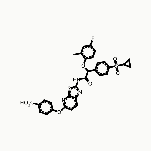 O=C(O)c1ccc(Oc2ccc3nc(NC(=O)C(Oc4ccc(F)cc4F)c4ccc(S(=O)(=O)C5CC5)cc4)sc3n2)cc1